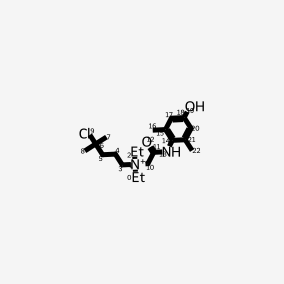 CC[N+](CC)(CCCC(C)(C)Cl)CC(=O)Nc1c(C)cc(O)cc1C